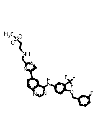 CS(=O)(=O)CCNCc1nc(-c2ccc3ncnc(Nc4ccc(OCc5cccc(F)c5)c(C(F)(F)F)c4)c3c2)cs1